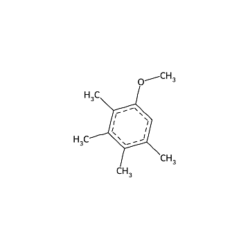 COc1cc(C)c(C)c(C)c1C